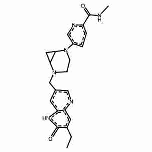 CCc1cc2ncc(CN3CCN(c4ccc(C(=O)NC)nc4)C4CC43)cc2[nH]c1=O